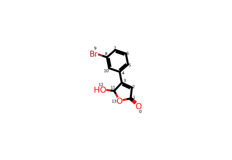 O=C1C=C(c2cccc(Br)c2)C(O)O1